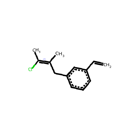 C=Cc1cccc(C/C(C)=C(/C)Cl)c1